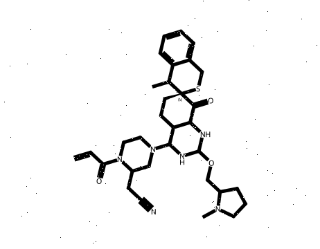 C=CC(=O)N1CCN(C2NC(OCC3CCCN3C)NC3C(=O)[C@@]4(CCC32)SCc2ccccc2C4C)CC1CC#N